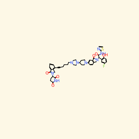 O=C1CCC(N2Cc3c(C#CCCCCN4CCN(C5CCN(c6ccc7c(c6)C(=O)N(C(C(=O)Nc6nccs6)c6cc(F)ccc6O)C7)CC5)CC4)cccc3C2=O)C(=O)N1